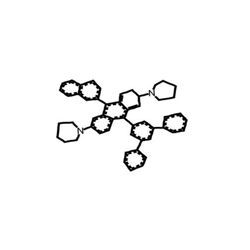 C1=c2c(-c3cc(-c4ccccc4)cc(-c4ccccc4)c3)c3ccc(N4CCCCC4)cc3c(-c3ccc4ccccc4c3)c2=CCC1N1CCCCC1